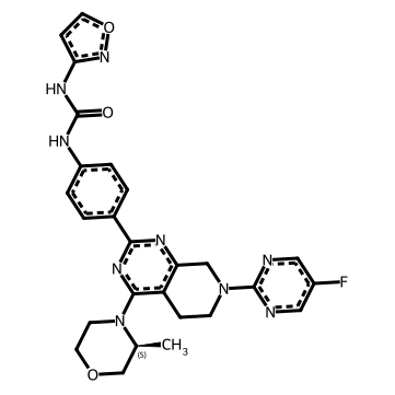 C[C@H]1COCCN1c1nc(-c2ccc(NC(=O)Nc3ccon3)cc2)nc2c1CCN(c1ncc(F)cn1)C2